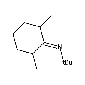 CC1CCCC(C)C1=NC(C)(C)C